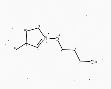 CC1C=[PH](OCCCCl)CC1